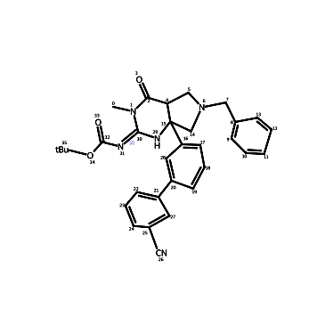 CN1C(=O)C2CN(Cc3ccccc3)CC2(c2cccc(-c3cccc(C#N)c3)c2)N/C1=N/C(=O)OC(C)(C)C